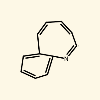 [C]1=N/c2ccccc2\C=C/C=C\1